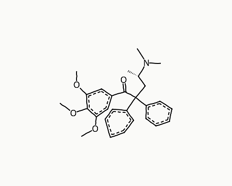 COc1cc(C(=O)C(C[C@H](C)N(C)C)(c2ccccc2)c2ccccc2)cc(OC)c1OC